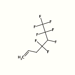 C=CCC(F)(F)C(F)C(F)(F)C(F)(F)F